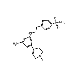 CN1CC=C(c2cc(NCCc3ccc(S(N)(=O)=O)cc3)nc(N)n2)CC1